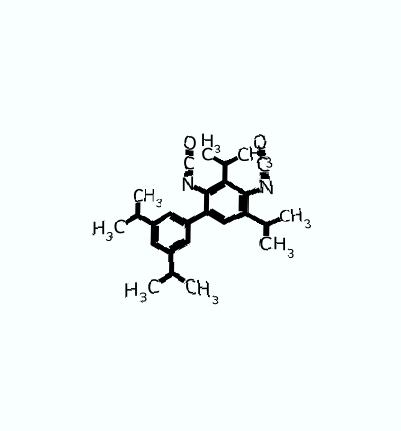 CC(C)c1cc(-c2cc(C(C)C)c(N=C=O)c(C(C)C)c2N=C=O)cc(C(C)C)c1